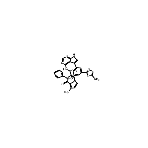 Cc1ccn2nc([C@H](C)Nc3ncnc4[nH]cc(-c5cc(O)cc(-c6nnc(N)o6)c5)c34)n(-c3ccccc3)c(=O)c12